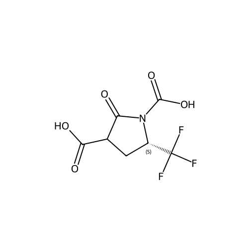 O=C(O)C1C[C@@H](C(F)(F)F)N(C(=O)O)C1=O